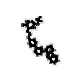 CC(C)(C)OC(=O)NC(COCc1ccc(-c2cccc(-c3cccc4c3oc3ccccc34)c2)cc1)C(=O)O